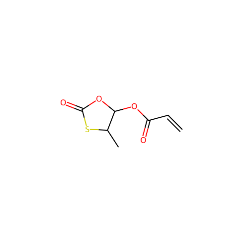 C=CC(=O)OC1OC(=O)SC1C